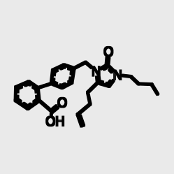 C=CCCc1cn(CCCC)c(=O)n1Cc1ccc(-c2ccccc2C(=O)O)cc1